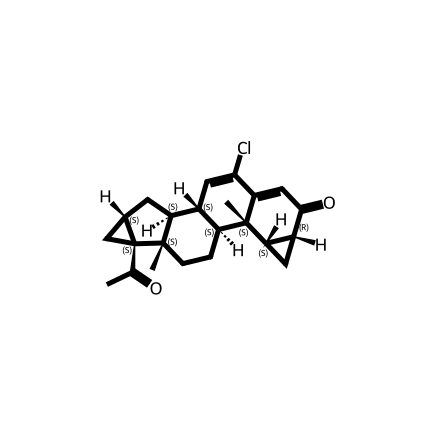 CC(=O)[C@@]12C[C@@H]1C[C@H]1[C@@H]3C=C(Cl)C4=CC(=O)[C@@H]5C[C@@H]5[C@]4(C)[C@H]3CC[C@@]12C